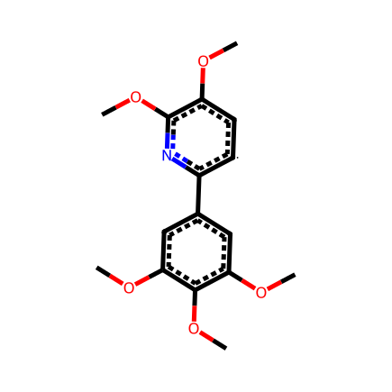 COc1c[c]c(-c2cc(OC)c(OC)c(OC)c2)nc1OC